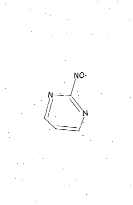 O=[N+]c1ncccn1